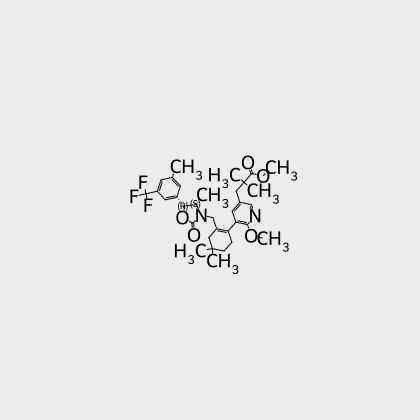 COC(=O)C(C)(C)Cc1cnc(OC)c(C2=C(CN3C(=O)O[C@H](c4cc(C)cc(C(F)(F)F)c4)[C@@H]3C)CC(C)(C)CC2)c1